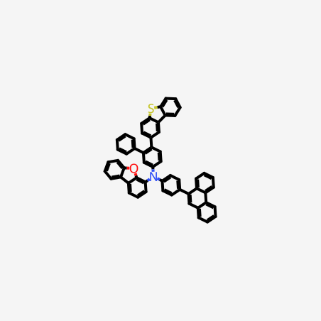 c1ccc(-c2cc(N(c3ccc(-c4cc5ccccc5c5ccccc45)cc3)c3cccc4c3oc3ccccc34)ccc2-c2ccc3sc4ccccc4c3c2)cc1